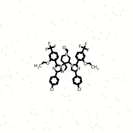 CCOc1cc(C(F)(F)F)ccc1C1=NC(c2ccc(Cl)cc2)CN1C1CN(C=O)CCC1(CBr)N1CC(c2ccc(Cl)cc2)N=C1c1ccc(C(F)(F)F)cc1OCC